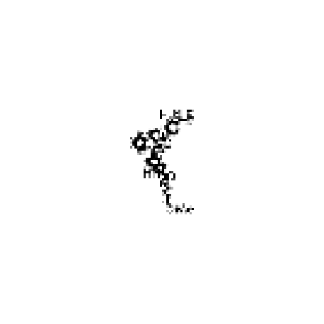 COCCCCOC(=O)c1cc2cc(NC(=O)[C@@H]3[C@@H](c4ccccc4)CCN3C(=O)[C@H]3CC[C@H]([C@H](N)CF)CC3)ccc2[nH]1